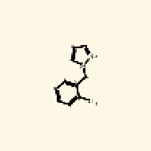 FC(F)(F)c1ccccc1Cn1cccn1